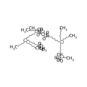 C/C=C(\C)CCCCC(C)(CCCCCCCCC1CCC(CCCCCC)C(CCCCCCCC)C1CCCCCCCCN(C)C(=O)/C=C\C=O)N1C(=O)c2cc3c(cc2C1=O)C(=O)N(CCCCCCCCC1C(CCCCCCCCC(CC)(CCCCC)N2C(=O)C=CC2=O)CCC(CCCCCC)C1CCCCCCCC)CC3=O